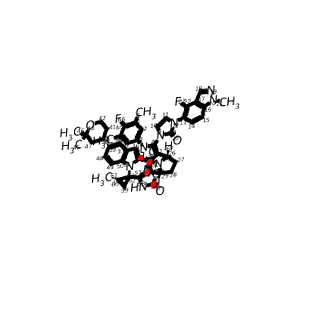 Cc1cc(-n2nc3c(c2-n2ccn(-c4ccc5c(cnn5C)c4F)c2=O)[C@@H]2CC[C@H](C3)N2S(=O)(=O)c2cc3cc([C@H]4CCOC(C)(C)C4)ccc3n2[C@@]2(c3noc(=O)[nH]3)C[C@@H]2C)cc(C)c1F